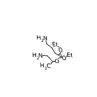 CCO[Si](CCCN)(OCC)OC(C)CN